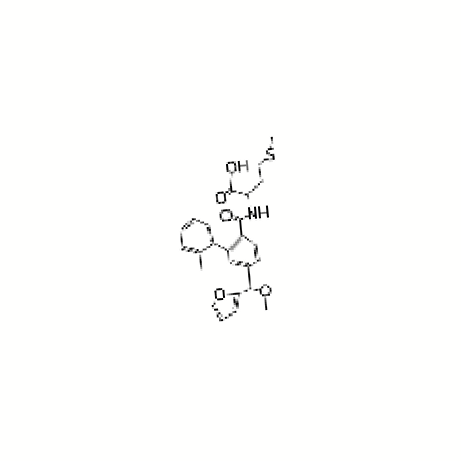 COC(c1ccc(C(=O)NC(CCSC)C(=O)O)c(-c2ccccc2C)c1)c1ccco1